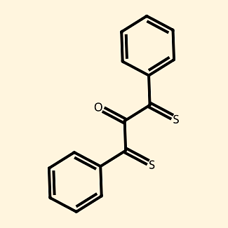 O=C(C(=S)c1ccccc1)C(=S)c1ccccc1